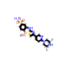 CC(C)Oc1ccc(S(N)(=O)=O)cc1Nc1nc(C2=CCC(N3C[C@@H](C)N[C@@H](C)C3)N=C2)cs1